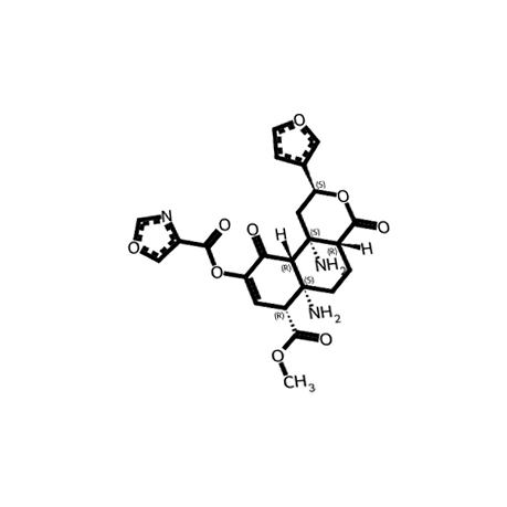 COC(=O)[C@@H]1C=C(OC(=O)c2cocn2)C(=O)[C@H]2[C@@]1(N)CC[C@H]1C(=O)O[C@H](c3ccoc3)C[C@]21N